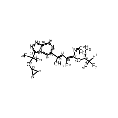 C=N/C(O[C@@H](C)C(F)(F)F)=C(F)\C=C(/C)c1cn2c(C(F)(F)OC3CC3)nnc2cn1